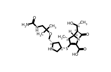 C[C@@H](O)[C@H]1C(=O)N2C(C(=O)O)=C(S[C@@H]3CN[C@H](COC(C)(C)CNC(N)=O)C3)[C@H](C)[C@H]12